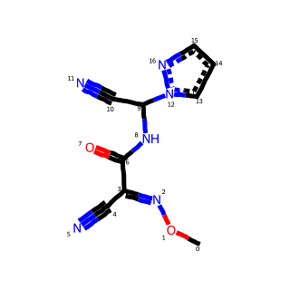 CON=C(C#N)C(=O)NC(C#N)n1cccn1